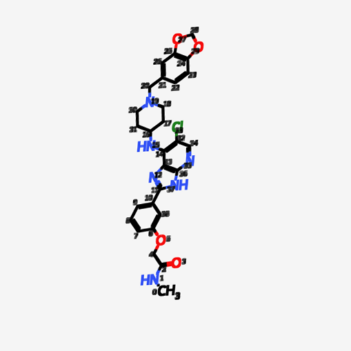 CNC(=O)COc1cccc(-c2nc3c(NC4CCN(Cc5ccc6c(c5)OCO6)CC4)c(Cl)cnc3[nH]2)c1